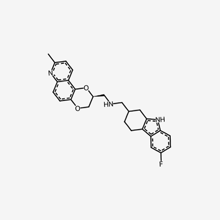 Cc1ccc2c3c(ccc2n1)OC[C@H](CNCC1CCc2c([nH]c4ccc(F)cc24)C1)O3